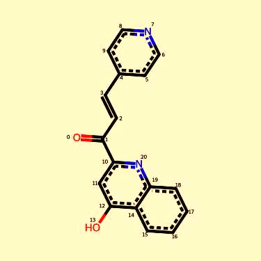 O=C(C=Cc1ccncc1)c1cc(O)c2ccccc2n1